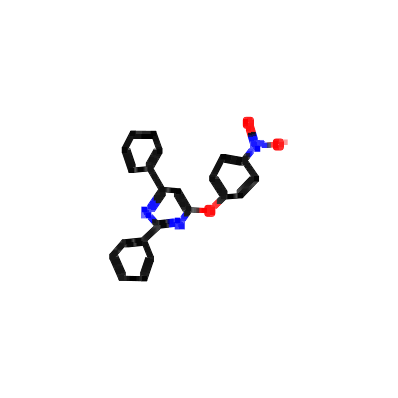 O=[N+]([O-])c1ccc(Oc2cc(-c3ccccc3)nc(-c3ccccc3)n2)cc1